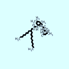 CCCCCCCCCCC(CCCCCCCC)COC(=O)NC1CC(C)(C)CC(C)(CNC(=O)NC2(C)NC(=O)C=C(C)N2)C1